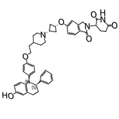 O=C1CCC(N2Cc3cc(O[C@H]4C[C@@H](N5CCC(CCOc6ccc([C@@H]7c8ccc(O)cc8CC[C@@H]7c7ccccc7)cc6)CC5)C4)ccc3C2=O)C(=O)N1